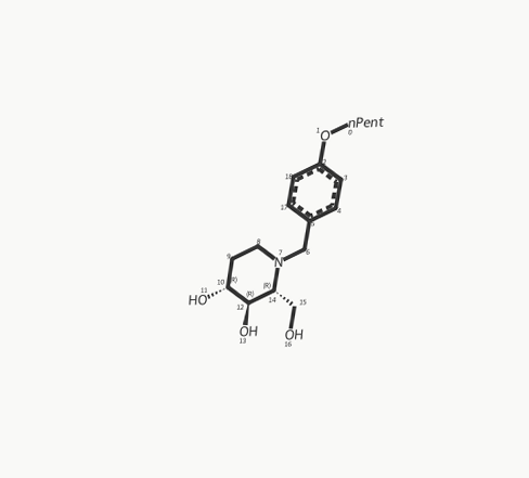 CCCCCOc1ccc(CN2CC[C@@H](O)[C@H](O)[C@H]2CO)cc1